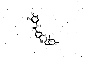 C[C@H]1CC2CCC(Sc3cc(C(=O)Nc4cc(F)c(F)c(F)c4)ccc3Cl)[C@@H](C2)C1